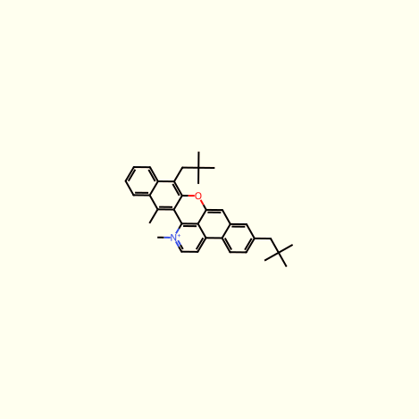 Cc1c2c(c(CC(C)(C)C)c3ccccc13)Oc1cc3cc(CC(C)(C)C)ccc3c3cc[n+](C)c-2c13